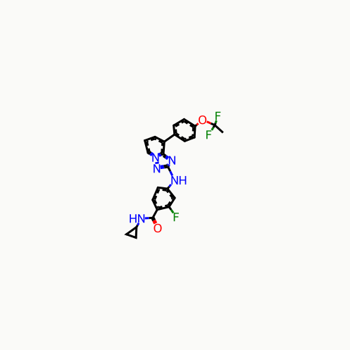 CC(F)(F)Oc1ccc(-c2cccn3nc(Nc4ccc(C(=O)NC5CC5)c(F)c4)nc23)cc1